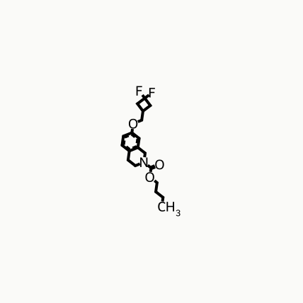 CCCCOC(=O)N1CCc2ccc(OCC3CC(F)(F)C3)cc2C1